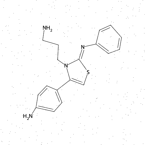 NCCCn1c(-c2ccc(N)cc2)csc1=Nc1ccccc1